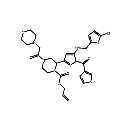 C=CCOC(=O)N1CCN(C(=O)CN2CCOCC2)CC1c1cc(NCc2ccc(Cl)s2)n(C(=O)c2cscn2)n1